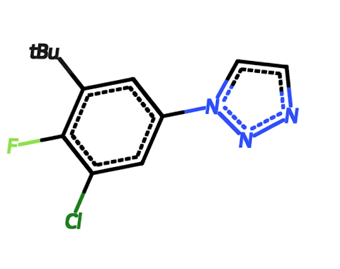 CC(C)(C)c1cc(-n2ccnn2)cc(Cl)c1F